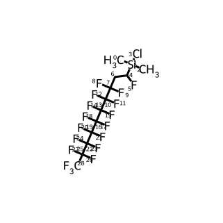 C[Si](C)(Cl)C(F)CC(F)(F)C(F)(F)C(F)(F)C(F)(F)C(F)(F)C(F)(F)C(F)(F)C(F)(F)F